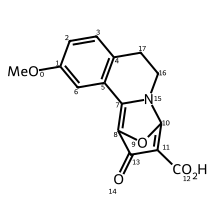 COc1ccc2c(c1)C1=C3OC(=C(C(=O)O)C3=O)N1CC2